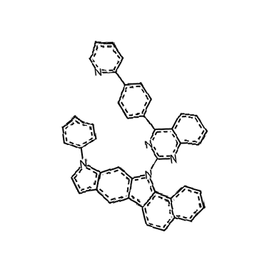 c1ccc(-n2ccc3cc4c5ccc6ccccc6c5n(-c5nc(-c6ccc(-c7ccccn7)cc6)c6ccccc6n5)c4cc32)cc1